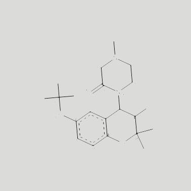 CN1CCN(C2c3cc(OC(F)(F)F)ccc3OC(C)(C)C2O)C(=O)C1